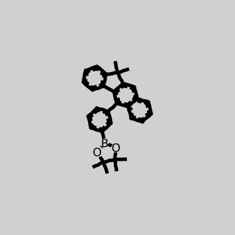 CC1(C)c2ccccc2-c2c1cc1ccccc1c2-c1cccc(B2OC(C)(C)C(C)(C)O2)c1